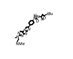 CNCCN(C)c1ncc2c(n1)sc1nc(-c3ccc(NC(=O)Nc4cc(C(C)(C)C)on4)cc3)cn12